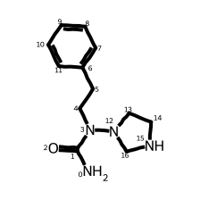 NC(=O)N(CCc1ccccc1)N1CCNC1